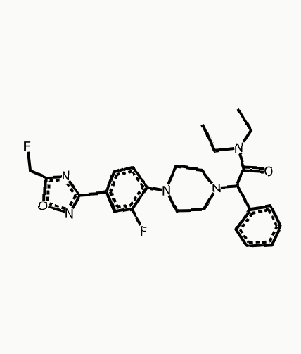 CCN(CC)C(=O)C(c1ccccc1)N1CCN(c2ccc(-c3noc(CF)n3)cc2F)CC1